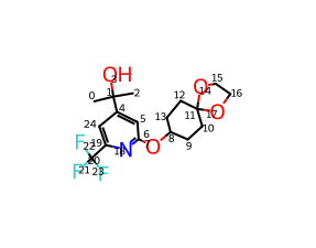 CC(C)(O)c1cc(OC2CCC3(CC2)OCCO3)nc(C(F)(F)F)c1